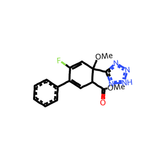 COC(=O)C1C=C(c2ccccc2)C(F)=CC1(OC)c1nn[nH]n1